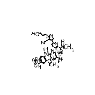 CNC(=O)c1nc(-c2cnn(CCCO)c2C#N)ccc1Nc1nc(Nc2ccc(CP(=O)(O)O)cc2OC)ncc1C(F)(F)F